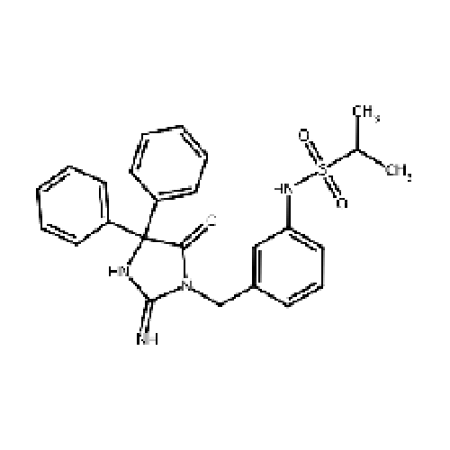 CC(C)S(=O)(=O)Nc1cccc(CN2C(=N)NC(c3ccccc3)(c3ccccc3)C2=O)c1